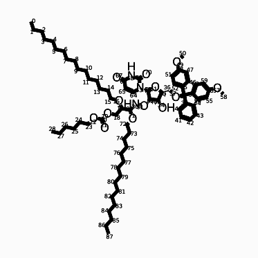 CCCCCCCCCCCCCCCCOC(COC(=O)OCCCCCC)C(NO[C@@H]1[C@H](O)[C@@H](COC(c2ccccc2)(c2ccc(OC)cc2)c2ccc(OC)cc2)O[C@H]1n1ccc(=O)[nH]c1=O)OCCCCCCCCCCCCCCCC